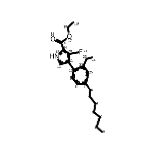 CCCCCCCc1ccc(-c2c[nH]c(C(=O)OCC)c2F)c(CC)c1